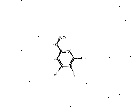 O=NOc1cc(F)c(F)c(F)c1